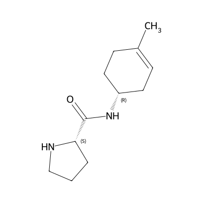 CC1=CC[C@H](NC(=O)[C@@H]2CCCN2)CC1